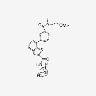 COCCN(C)C(=O)c1cccc(-c2cccc3cc(C(=O)N[C@H]4CN5CCC4CC5)sc23)c1